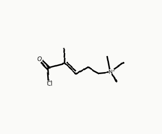 C/C(=C\CC[N+](C)(C)C)C(=O)Cl